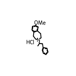 COc1ccc2c(c1)CCN(C(C)Cc1ccccc1)CC2.Cl